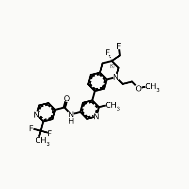 COCCN1C[C@](F)(CF)Cc2ccc(-c3cc(NC(=O)c4ccnc(C(C)(F)F)c4)cnc3C)cc21